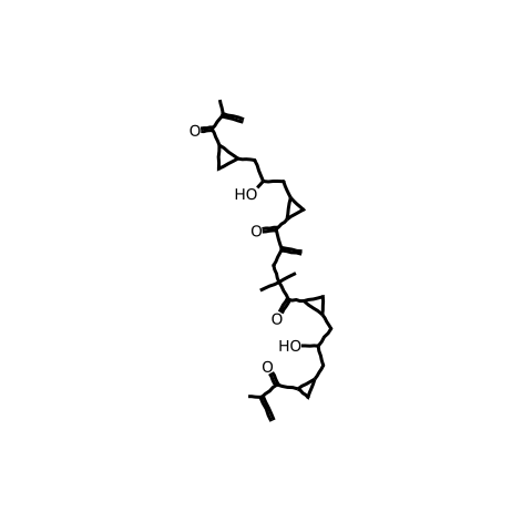 C=C(C)C(=O)C1CC1CC(O)CC1CC1C(=O)C(=C)CC(C)(C)C(=O)C1CC1CC(O)CC1CC1C(=O)C(=C)C